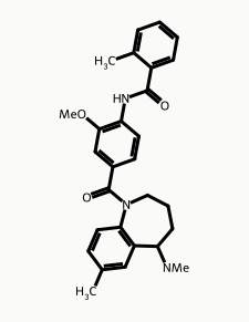 CNC1CCCN(C(=O)c2ccc(NC(=O)c3ccccc3C)c(OC)c2)c2ccc(C)cc21